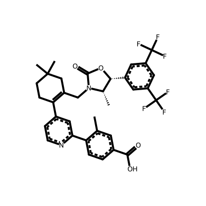 Cc1cc(C(=O)O)ccc1-c1cc(C2=C(CN3C(=O)O[C@H](c4cc(C(F)(F)F)cc(C(F)(F)F)c4)[C@@H]3C)CC(C)(C)CC2)ccn1